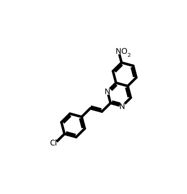 O=[N+]([O-])c1ccc2cnc(C=Cc3ccc(Cl)cc3)nc2c1